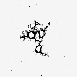 Cc1cccc(-c2nc3nc(C#N)nc(NC(C)C4CC4)c3n2Cc2ccc(F)c(C(F)(F)F)c2)c1